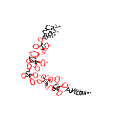 [Al+3].[Al+3].[Al+3].[Al+3].[Ca+2].[Ca+2].[Ca+2].[Ca+2].[O-][Si]([O-])([O-])[O-].[O-][Si]([O-])([O-])[O-].[O-][Si]([O-])([O-])[O-].[O-][Si]([O-])([O-])[O-].[O-][Si]([O-])([O-])[O-]